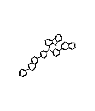 c1ccc(-c2ccc3cc(-c4ccc(N(c5cccc(-c6ccc7ccccc7c6)c5)c5cccc6c5sc5ccccc56)cc4)ccc3c2)cc1